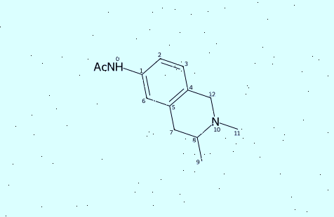 CC(=O)Nc1ccc2c(c1)CC(C)N(C)C2